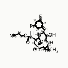 CCCCS(=O)(=O)C[C@@H](NC(=O)OCCC#N)C(=O)N[C@@H](Cc1cc(F)cc(F)c1)[C@H](O)CNC1CC1